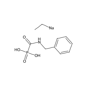 C[CH2][Na].O=C(NCc1ccccc1)P(=O)(O)O